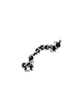 CCc1cnn2c(NCc3ccc(OCCCN4CCN(CC5CCN(c6cnc(C(=O)N[C@H]7C(C)(C)[C@H](Oc8ccc(C#N)c(Cl)c8)C7(C)C)nc6)CC5)CC4)nc3)cc(N3CCCCC3CCO)nc12